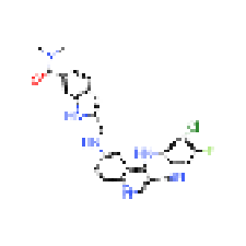 CN(C)C(=O)c1ccc2cc(CNc3ccc4ncc(C#N)c(Nc5ccc(F)c(Cl)c5)c4c3)[nH]c2c1